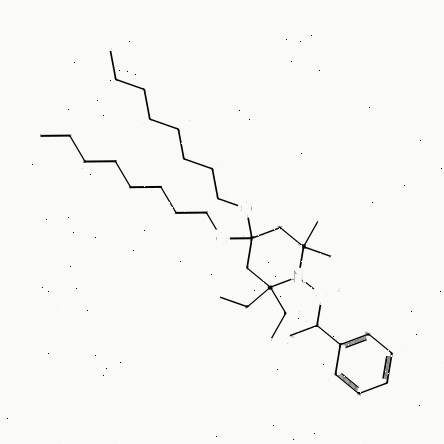 CCCCCCCCOC1(OCCCCCCCC)CC(C)(C)N(OC(C)c2ccccc2)C(CC)(CC)C1